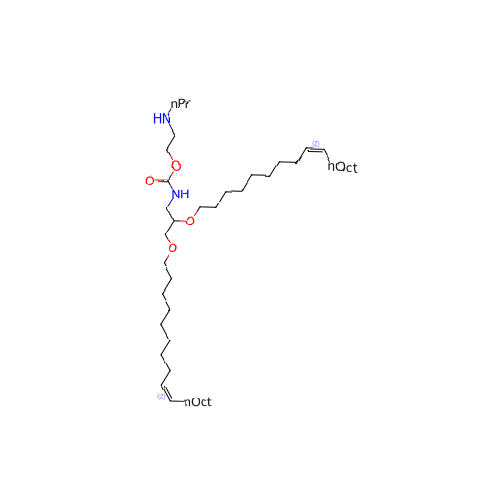 CCCCCCCC/C=C\CCCCCCCCOCC(CNC(=O)OCCNCCC)OCCCCCCCC/C=C\CCCCCCCC